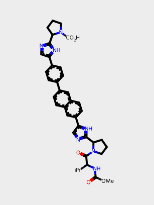 COC(=O)NC(C(=O)N1CCCC1c1ncc(-c2ccc3cc(-c4ccc(-c5cnc(C6CCCN6C(=O)O)[nH]5)cc4)ccc3c2)[nH]1)C(C)C